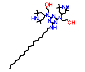 CCCCCCCCCCCCCCCCCCNc1nc(N(CCO)C2CC(C)(C)NC(C)(C)C2)nc(N(CCO)C2CC(C)(C)NC(C)(C)C2)n1